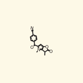 CC1C(=O)Oc2cc(C(=O)c3ccc(C#N)cc3)n(C)c21